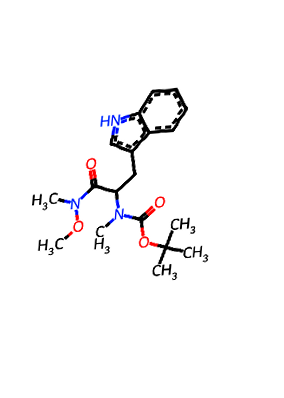 CON(C)C(=O)C(Cc1c[nH]c2ccccc12)N(C)C(=O)OC(C)(C)C